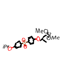 CO[Si](C)(CC(C)COc1ccc(S(=O)(=O)c2ccc(OC(C)C)cc2)cc1)OC